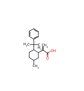 C=C(C(=O)O)C1CC(C)CCC1C(C)(C)c1ccccc1